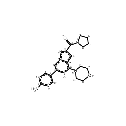 Nc1ncc(-c2cn3nc(C(=O)N4CCCC4)cc3c(N3CCOCC3)n2)cn1